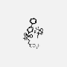 O=C(O)C(F)(F)F.O=C(O)CCNS(=O)(=O)c1ccc(-c2ccccc2)cc1